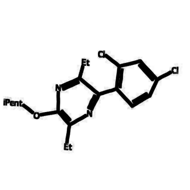 CCCC(C)Oc1nc(CC)c(-c2ccc(Cl)cc2Cl)nc1CC